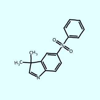 CC1(C)C=Nc2ccc(S(=O)(=O)c3ccccc3)cc21